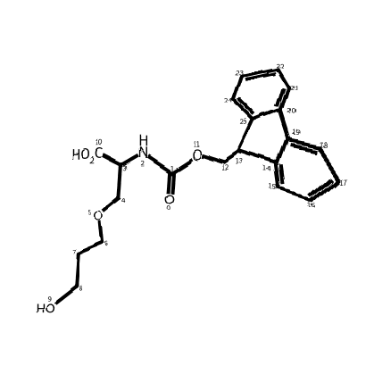 O=C(NC(COCCCO)C(=O)O)OCC1c2ccccc2-c2ccccc21